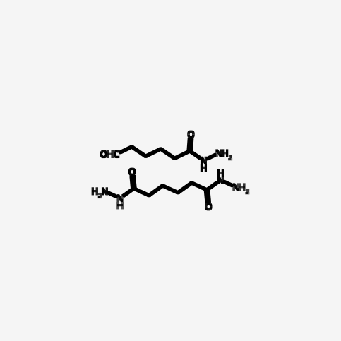 NNC(=O)CCCCC(=O)NN.NNC(=O)CCCCC=O